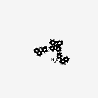 Nc1ccc(Oc2ccc(C3(c4ccc(Oc5ccc(N)c(-c6cccc7ccccc67)c5)cc4)c4ccccc4-c4ccccc43)cc2)cc1-c1cccc2ccccc12